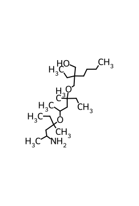 CCCCC(CC)(CO)COC(C)(CC)CC(C)OC(C)(CC)CC(C)N